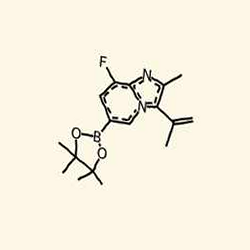 C=C(C)c1c(C)nc2c(F)cc(B3OC(C)(C)C(C)(C)O3)cn12